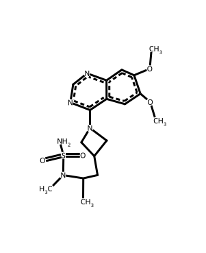 COc1cc2ncnc(N3CC(CC(C)N(C)S(N)(=O)=O)C3)c2cc1OC